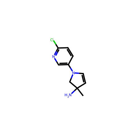 CC1(N)C=CN(c2ccc(Cl)nc2)C1